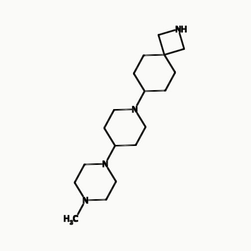 CN1CCN(C2CCN(C3CCC4(CC3)CNC4)CC2)CC1